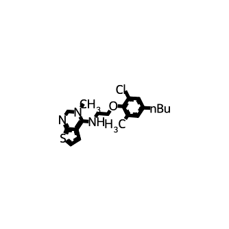 CCCCc1cc(C)c(OCCNC2=c3ccsc3=NCN2C)c(Cl)c1